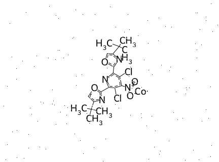 CC(C)(C)c1coc(-c2nc(-c3nc(C(C)(C)C)co3)c(Cl)c([N+](=O)[O-])c2Cl)n1.[Co]